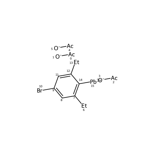 CC(=O)[O-].CC(=O)[O-].CC(=O)[O-].CCc1cc(Br)cc(CC)[c]1[Pb+3]